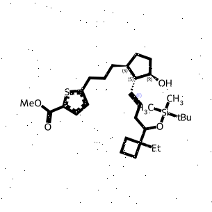 CCC1(C(C/C=C/[C@@H]2[C@@H](CCCc3ccc(C(=O)OC)s3)CC[C@H]2O)O[Si](C)(C)C(C)(C)C)CCC1